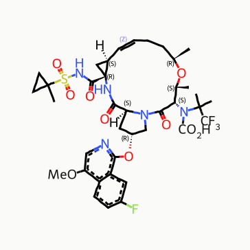 COc1cnc(O[C@@H]2C[C@H]3C(=O)N[C@]4(C(=O)NS(=O)(=O)C5(C)CC5)C[C@H]4/C=C\CC[C@@H](C)O[C@@H](C)[C@H](N(C(=O)O)C(C)(C)C(F)(F)F)C(=O)N3C2)c2cc(F)ccc12